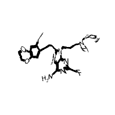 CC(C)NCCCn1c(Cc2cc3c(cc2I)OCCO3)nc2c(N)nc(F)nc21